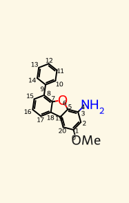 COc1cc(N)c2oc3c(-c4ccccc4)cccc3c2c1